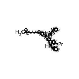 C=CC(=O)OCCCCCCOc1ccc(C(=O)Oc2cc(/C=N/Nc3nc4ccccc4s3)c(-c3ccc(CCC)cc3)cc2/C=N/Nc2nc3ccccc3s2)cc1